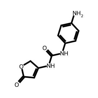 Nc1ccc(NC(=O)NC2=CC(=O)OC2)cc1